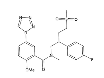 COc1ccc(-n2cnnn2)cc1C(=O)N(C)CC(CCS(C)(=O)=O)c1ccc(F)cc1